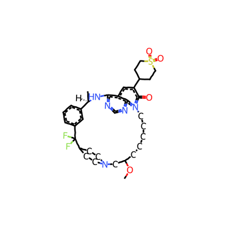 COC1CCCCCn2c(=O)c(C3CCS(=O)(=O)CC3)cc3c(ncnc32)N[C@H](C)c2cccc(c2)C(F)(F)C2CCN(CC2)C1